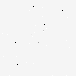 CC(C)OCC1(CN2CCC3(CCCCC3=O)CC2)CC1